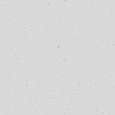 O=C(CCC(F)(F)F)N[C@@H]1CN(C(=O)c2cccn3cncc23)CC[C@H]1c1cccc(Cl)c1